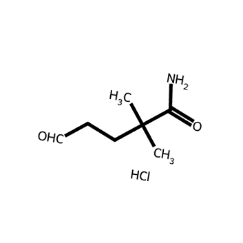 CC(C)(CCC=O)C(N)=O.Cl